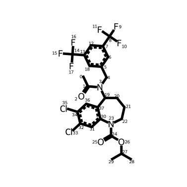 CC(=O)N(Cc1cc(C(F)(F)F)cc(C(F)(F)F)c1)C1CCCN(C(=O)OC(C)C)c2cc(Cl)c(Cl)cc21